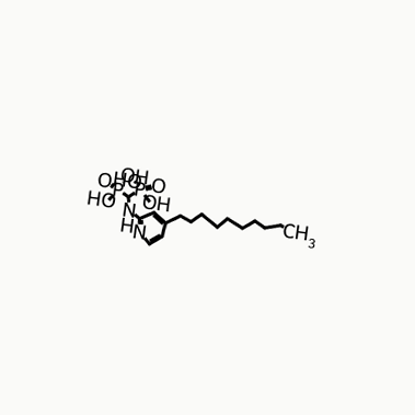 CCCCCCCCCCc1ccnc(NC(P(=O)(O)O)P(=O)(O)O)c1